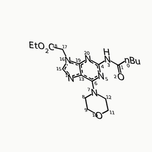 CCCCC(=O)Nc1nc(N2CCOCC2)c2ncn(CC(=O)OCC)c2n1